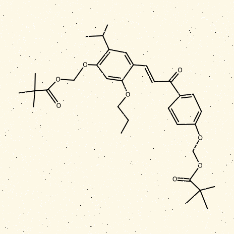 CCCOc1cc(OCOC(=O)C(C)(C)C)c(C(C)C)cc1C=CC(=O)c1ccc(OCOC(=O)C(C)(C)C)cc1